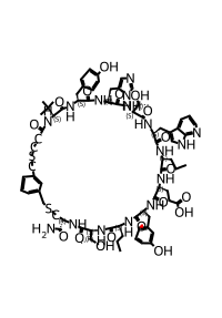 CCC[C@@H]1NC(=O)[C@H](Cc2c[nH]c3ncccc23)NC(=O)[C@H]([C@@H](C)O)NC(=O)[C@H](Cc2cnc[nH]2)NC(=O)[C@H](Cc2ccc(O)cc2)NC(=O)[C@H](C(C)(C)C)NC(=O)CCSCc2cccc(c2)CSC[C@@H](C(N)=O)NC(=O)[C@H]([C@@H](C)O)NC(=O)[C@H](CCC)NC(=O)[C@H](Cc2cccc(O)c2)NC(=O)[C@H](CCC(=O)O)NC1=O